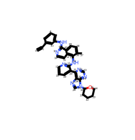 C#Cc1cccc(Nc2nccc3c(Nc4ncccc4-c4ncnc5c4ncn5C4CCCCO4)c(C)ccc23)c1